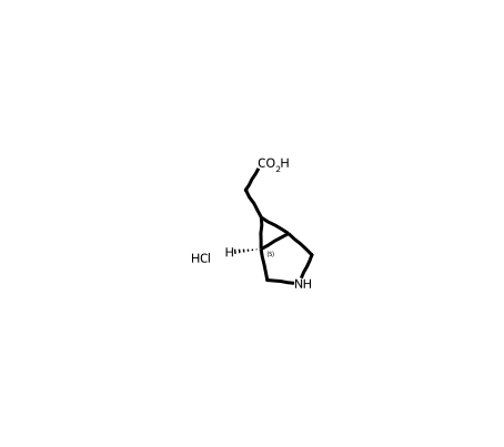 Cl.O=C(O)CC1C2CNC[C@H]21